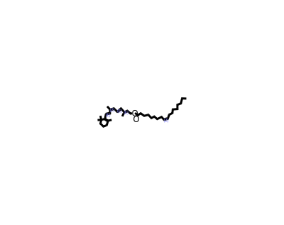 CCCCCCCC/C=C\CCCCCCCC(=O)OC/C=C(C)/C=C/C=C(C)\C=C\C1=C(C)CCCC1(C)C